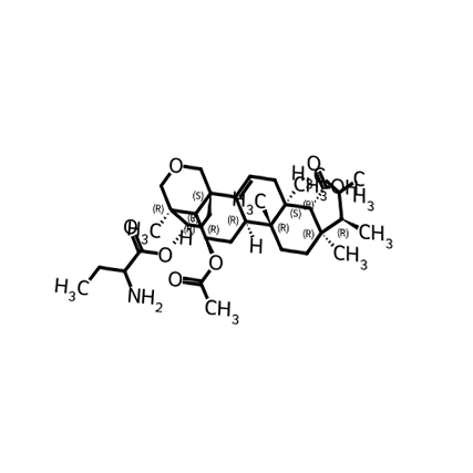 CCC(N)C(=O)O[C@H]1[C@H](OC(C)=O)C[C@]23COC[C@@]1(C)[C@@H]2CC[C@H]1C3=CC[C@@]2(C)[C@H](C(=O)O)[C@@](C)([C@H](C)C(C)C)CC[C@]12C